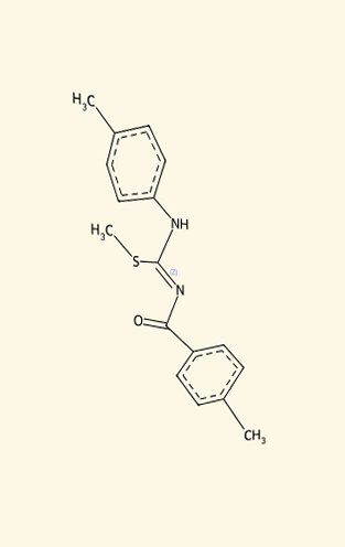 CS/C(=N\C(=O)c1ccc(C)cc1)Nc1ccc(C)cc1